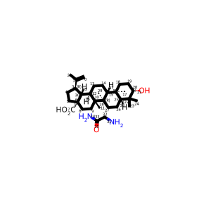 C=C(C)[C@@H]1CC[C@]2(C(=O)O)CC[C@]3(C)[C@H](CC[C@@H]4[C@@]5(C)CC[C@H](O)C(C)(C)[C@@H]5CC[C@]43C)[C@@H]12.NCC(N)=O